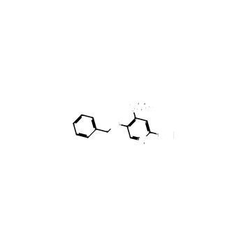 CSc1cc(O)ncc1OCc1ccccc1